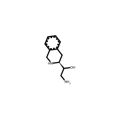 NCC(O)[C@@H]1Cc2ccccc2CN1